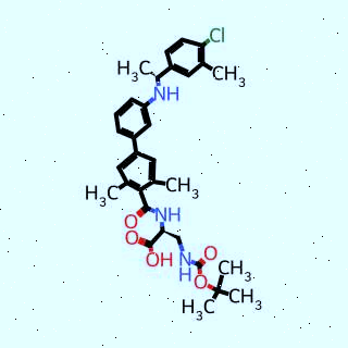 Cc1cc([C@@H](C)Nc2cccc(-c3cc(C)c(C(=O)N[C@@H](CNC(=O)OC(C)(C)C)C(=O)O)c(C)c3)c2)ccc1Cl